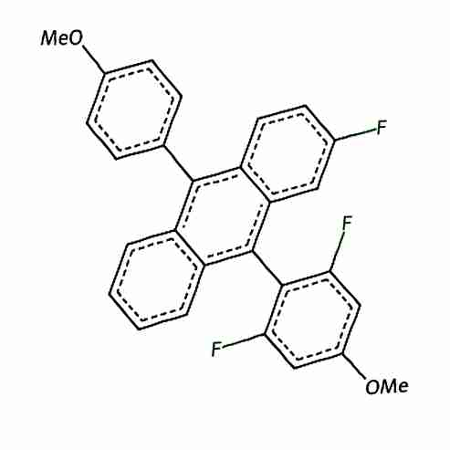 COc1ccc(-c2c3ccccc3c(-c3c(F)cc(OC)cc3F)c3cc(F)ccc23)cc1